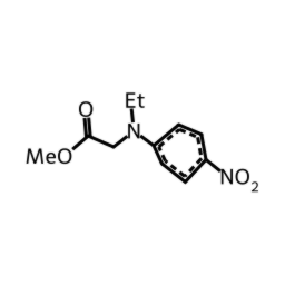 CCN(CC(=O)OC)c1ccc([N+](=O)[O-])cc1